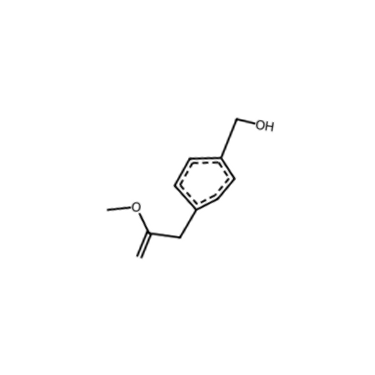 C=C(Cc1ccc(CO)cc1)OC